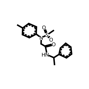 Cc1ccc(N(CC(=O)NC(C)c2ccccc2)S(C)(=O)=O)cc1